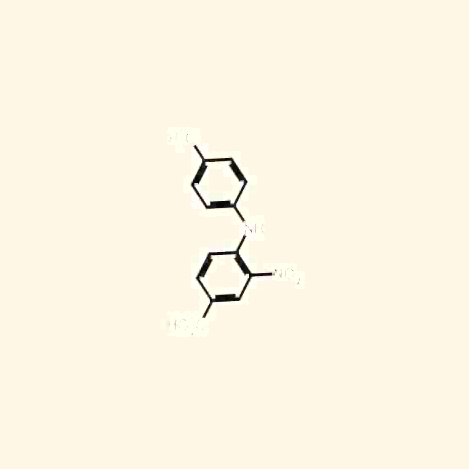 Cc1ccc(Nc2ccc(C(=O)O)cc2[N+](=O)[O-])cc1